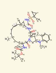 C[C@@H]1CC/C=C\[C@@H]2C[C@@]2(C(=O)NS(=O)(=O)C2(C)CC2)NC(=O)[C@@H]2C[C@@H](N(C(=O)O)c3ccccc3C(F)(F)F)CN2C(=O)[C@@H](NC(=O)OC(C)(C)C(F)(F)F)[C@H](C)C1